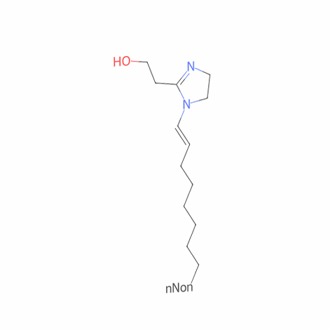 CCCCCCCCCCCCCCCC=CN1CCN=C1CCO